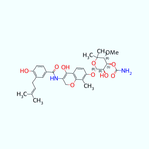 CO[C@@H]1[C@@H](OC(N)=O)[C@@H](O)[C@H](Oc2ccc3c(c2C)OCC(NC(=O)c2ccc(O)c(CC=C(C)C)c2)=C3O)OC1(C)C